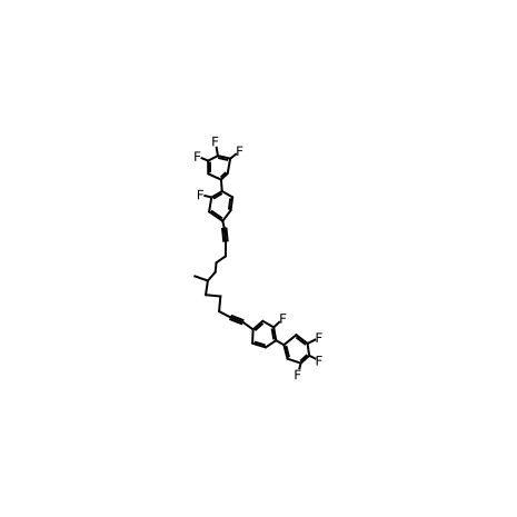 CC(CCCC#Cc1ccc(-c2cc(F)c(F)c(F)c2)c(F)c1)CCCC#Cc1ccc(-c2cc(F)c(F)c(F)c2)c(F)c1